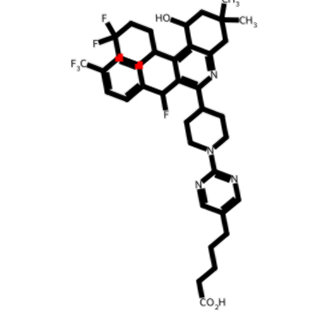 CC1(C)Cc2nc(C3CCN(c4ncc(CCCCC(=O)O)cn4)CC3)c(C(F)c3ccc(C(F)(F)F)cc3)c(C3CCC(F)(F)CC3)c2C(O)C1